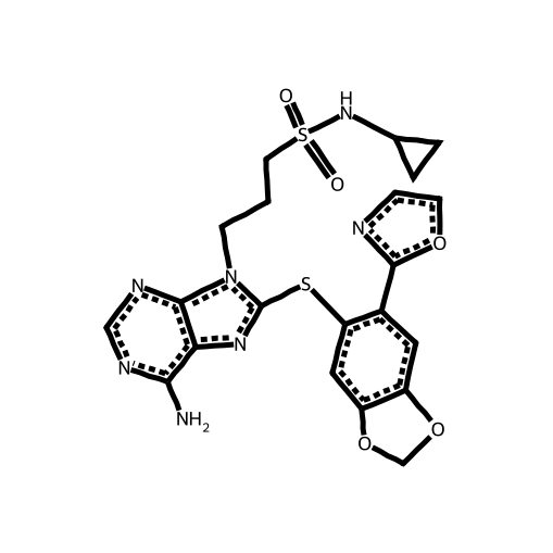 Nc1ncnc2c1nc(Sc1cc3c(cc1-c1ncco1)OCO3)n2CCCS(=O)(=O)NC1CC1